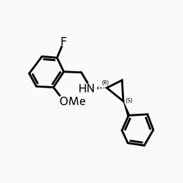 COc1cccc(F)c1CN[C@@H]1C[C@H]1c1ccccc1